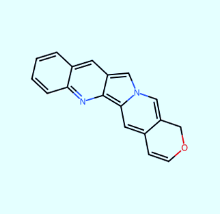 C1=Cc2cc3c4nc5ccccc5cc4cn3cc2CO1